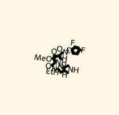 CCN1C(=O)c2c(OC)c(=O)c(C(=O)NCc3ccc(F)cc3F)cn2N2[C@@H]3CNC[C@@H]3C[C@@H]12